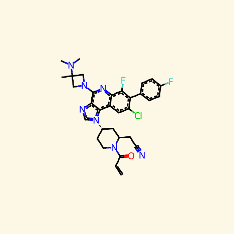 C=CC(=O)N1CC[C@H](n2cnc3c(N4CC(C)(N(C)C)C4)nc4c(F)c(-c5ccc(F)cc5)c(Cl)cc4c32)C[C@H]1CC#N